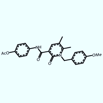 COc1ccc(Cn2c(C)c(C)cc(C(=O)Nc3ccc(OC(C)=O)cc3)c2=O)cc1